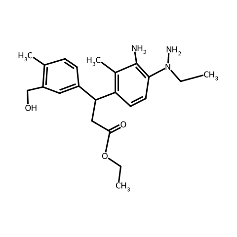 CCOC(=O)CC(c1ccc(C)c(CO)c1)c1ccc(N(N)CC)c(N)c1C